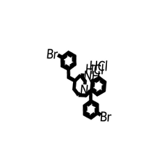 Brc1cccc(CC2CC3Cc4ccccc4NC2CN3Cc2cccc(Br)c2)c1.Cl.Cl